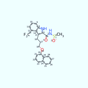 C[S+]([O-])NC(=O)c1[nH]c2cccc(C(F)(F)F)c2c1CCCOc1cccc2ccccc12